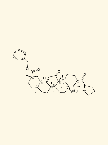 CC1(C)[C@@H](C(=O)N2CCC[C@@H]2C(=O)O)CC[C@]2(C)[C@H]3C(=O)C=C4[C@@H]5C[C@@](C)(C(=O)OCc6ccccc6)CC[C@]5(C)CC[C@@]4(C)[C@]3(C)CC[C@@H]12